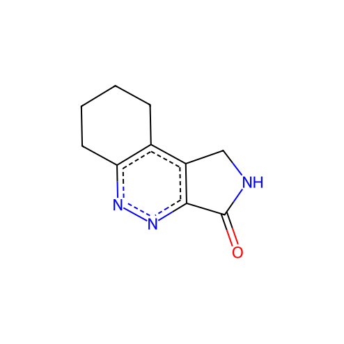 O=C1NCc2c1nnc1c2CCCC1